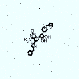 Nc1nc(Cl)nc2c1c(-c1nc(Cc3ccccc3)cs1)cn2[C@@H]1C[C@H](C2CCN(Cc3cccs3)CC2)[C@@H](O)[C@H]1O